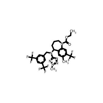 CCOC(=O)N1CCCC(N(Cc2cc(C(F)(F)F)cc(C(F)(F)F)c2)c2nnn(C)n2)c2cc(C)c(C(F)(F)F)cc21